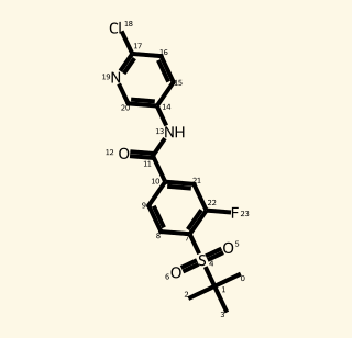 CC(C)(C)S(=O)(=O)c1ccc(C(=O)Nc2ccc(Cl)nc2)cc1F